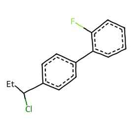 CCC(Cl)c1ccc(-c2ccccc2F)cc1